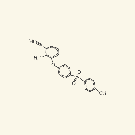 C#Cc1cccc(Oc2ccc(S(=O)(=O)c3ccc(O)cc3)cc2)c1C